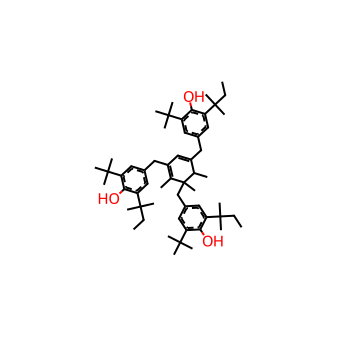 CCC(C)(C)c1cc(CC2=CC(Cc3cc(C(C)(C)C)c(O)c(C(C)(C)CC)c3)=C(C)C(C)(Cc3cc(C(C)(C)C)c(O)c(C(C)(C)CC)c3)C2C)cc(C(C)(C)C)c1O